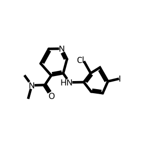 CN(C)C(=O)c1ccncc1Nc1ccc(I)cc1Cl